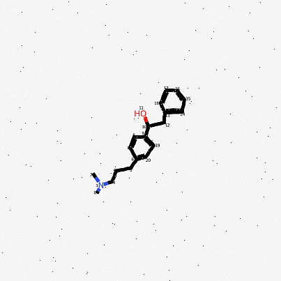 CN(C)CCCc1ccc(C(O)Cc2ccccc2)cc1